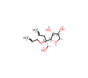 C=CCO[C@@](CO)(CC=C)[C@H]1OC[C@H](O)[C@H]1O